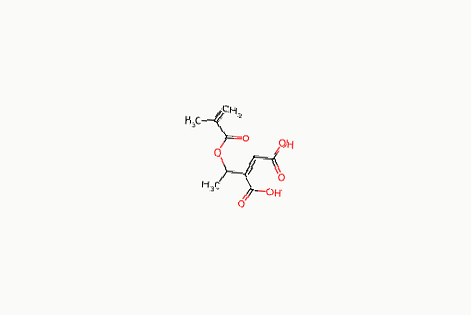 C=C(C)C(=O)OC(C)C(=CC(=O)O)C(=O)O